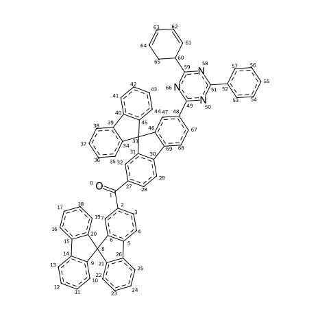 O=C(c1ccc2c(c1)C1(c3ccccc3-c3ccccc31)c1ccccc1-2)c1ccc2c(c1)C1(c3ccccc3-c3ccccc31)c1cc(-c3nc(-c4ccccc4)nc(C4C=CC=CC4)n3)ccc1-2